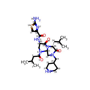 CC(C)CC(=O)N1C[C@@H](NC(=O)c2csc(N)n2)C(=O)N2C1CN(CC1CCNCC1)C(=O)[C@H]2CC(C)C